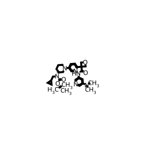 CN(C)c1cncc(NC(=O)C2(c3ccc(N4CCC[C@@H](N(CC5CC5)C(=O)OC(C)(C)C)C4)cn3)COC2)c1